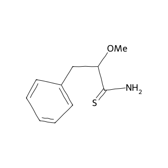 COC(Cc1ccccc1)C(N)=S